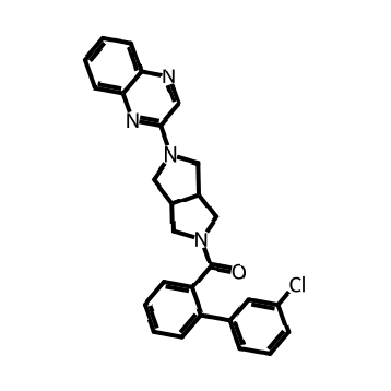 O=C(c1ccccc1-c1cccc(Cl)c1)N1CC2CN(c3cnc4ccccc4n3)CC2C1